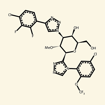 CO[C@@H]1[C@@H](n2cc(-c3ccc(Cl)c(F)c3F)nn2)[C@@H](O)[C@@H](CO)O[C@H]1c1nncn1-c1cc(Cl)ccc1OC(F)(F)F